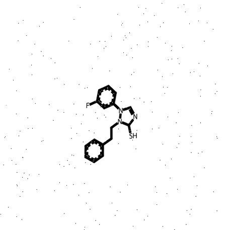 Fc1cccc(N2C=NC(S)N2CCc2ccccc2)c1